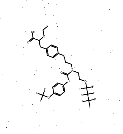 CCOC(Cc1ccc(OCCN(CCOC(F)(F)C(F)(F)C(F)(F)F)C(=O)Oc2ccc(OC(F)(F)F)cc2)cc1)C(=O)O